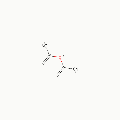 C=C(C#N)OC(=C)C#N